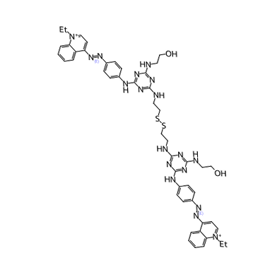 CC[n+]1ccc(/N=N/c2ccc(Nc3nc(NCCO)nc(NCCSSCCNc4nc(NCCO)nc(Nc5ccc(/N=N/c6cc[n+](CC)c7ccccc67)cc5)n4)n3)cc2)c2ccccc21